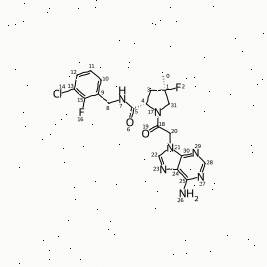 C[C@@]1(F)C[C@@H](C(=O)NCc2cccc(Cl)c2F)N(C(=O)Cn2cnc3c(N)ncnc32)C1